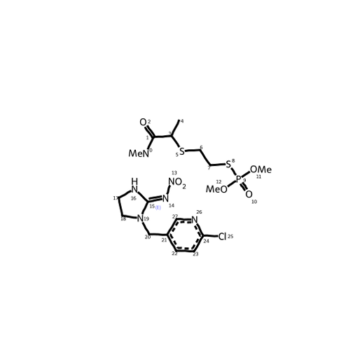 CNC(=O)C(C)SCCSP(=O)(OC)OC.O=[N+]([O-])/N=C1\NCCN1Cc1ccc(Cl)nc1